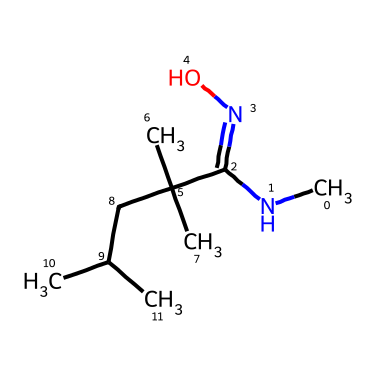 CNC(=NO)C(C)(C)CC(C)C